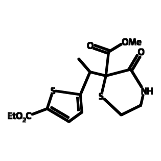 CCOC(=O)c1ccc(C(C)C2(C(=O)OC)SCCNC2=O)s1